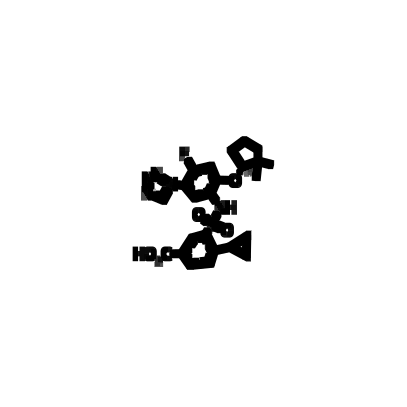 CC1(C)CCC[C@H]1Oc1cc(F)c(-n2cnnn2)cc1NS(=O)(=O)c1cc(C(=O)O)ccc1C1CC1